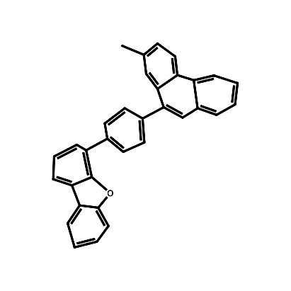 Cc1ccc2c(c1)c(-c1ccc(-c3cccc4c3oc3ccccc34)cc1)cc1ccccc12